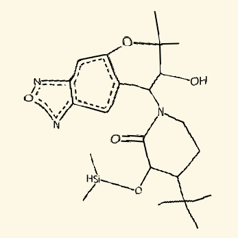 C[SiH](C)OC1C(=O)N(C2c3cc4nonc4cc3OC(C)(C)C2O)CCC1C(C)(C)C